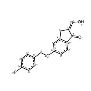 O=C1C(=NO)Cc2cc(OCc3ccc(F)cc3)ccc21